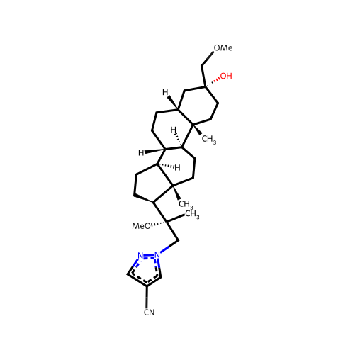 COC[C@@]1(O)CC[C@@]2(C)[C@H](CC[C@@H]3[C@@H]2CC[C@@]2(C)[C@H]3CC[C@@H]2[C@@](C)(Cn2cc(C#N)cn2)OC)C1